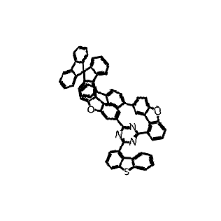 c1ccc2c(c1)-c1ccccc1C21c2ccccc2-c2c(-c3ccc(-c4ccc5oc6cccc(-c7nc(-c8ccc9c(c8)oc8ccccc89)nc(-c8cccc9sc%10ccccc%10c89)n7)c6c5c4)cc3)cccc21